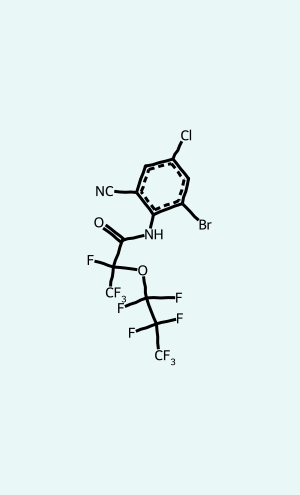 N#Cc1cc(Cl)cc(Br)c1NC(=O)C(F)(OC(F)(F)C(F)(F)C(F)(F)F)C(F)(F)F